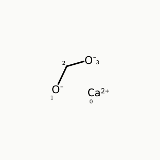 [Ca+2].[O-]C[O-]